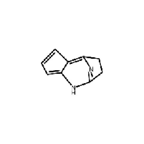 c1cc2[nH]c3nc(c-2c1)CC3